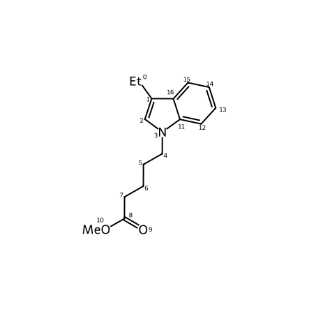 CCc1cn(CCCCC(=O)OC)c2ccccc12